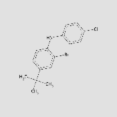 CC(C)(C)c1ccc(Nc2ccc(Cl)cc2)c(Br)c1